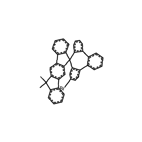 CC1(C)c2ccccc2-c2cc3c(cc21)-c1ccccc1C31c2ccccc2-c2ccccc2-c2ccc(Br)cc21